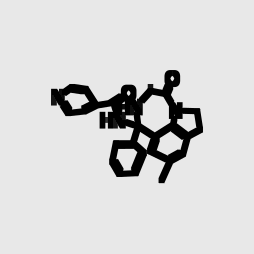 Cc1cc2c3c(c1)C(NC(=O)c1ccncc1)(c1ccccc1)N[CH]C(=O)N3CC2